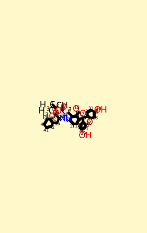 CC(C)(C)OC(=O)N(Cc1cccc2c1C(=O)OC21c2ccc(O)cc2Oc2cc(O)ccc21)NC(Cc1ccccc1)C(=O)O